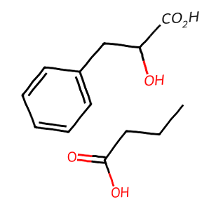 CCCC(=O)O.O=C(O)C(O)Cc1ccccc1